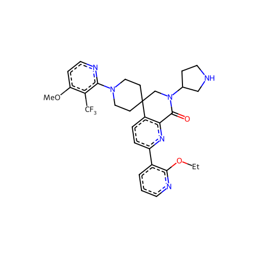 CCOc1ncccc1-c1ccc2c(n1)C(=O)N(C1CCNC1)CC21CCN(c2nccc(OC)c2C(F)(F)F)CC1